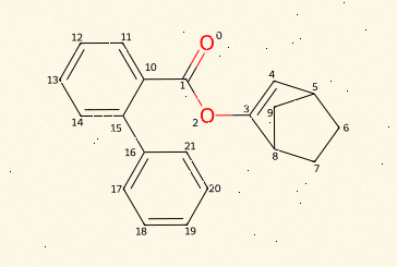 O=C(OC1=CC2CCC1C2)c1ccccc1-c1ccccc1